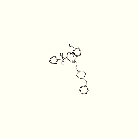 CN(C[C@@H](CCN1CCC(Cc2ccccc2)CC1)c1cccc(Cl)c1)S(=O)(=O)c1ccccc1